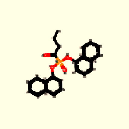 CCCC(=O)P(=O)(Oc1cccc2ccccc12)Oc1cccc2ccccc12